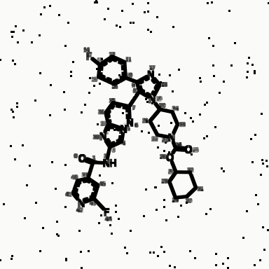 O=C(Nc1cn2nc(-c3c(-c4ccc(F)cc4)ncn3C3CCN(C(=O)OC4CCCCC4)CC3)ccc2n1)c1ccnc(F)c1